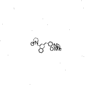 COc1cc(C=C2C=C(CN3CCCCC3=O)c3ccccc3C2)ccc1-n1ccnc1